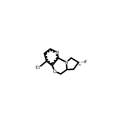 CCc1ccnc2c1OCC1C[C@@H](F)CN21